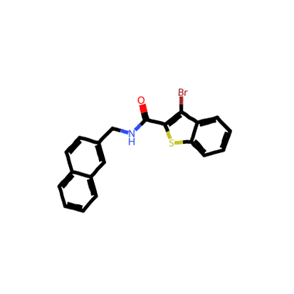 O=C(NCc1ccc2ccccc2c1)c1sc2ccccc2c1Br